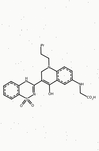 CC(C)CCN1CC(C2=NS(=O)(=O)c3ccccc3N2)=C(O)c2cc(NCC(=O)O)ccc21